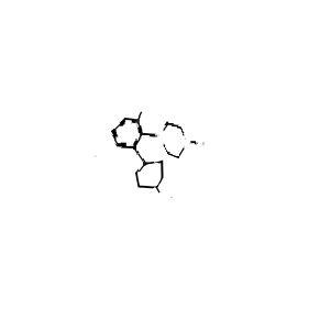 CCCCN1CCN(c2c(C(=O)OCC)cccc2C2CCC(C(C)(C)C)CC2)CC1.Cl